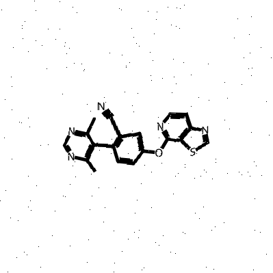 Cc1ncnc(C)c1-c1ccc(Oc2nccc3ncsc23)cc1C#N